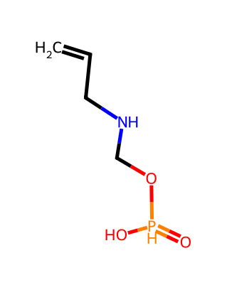 C=CCNCO[PH](=O)O